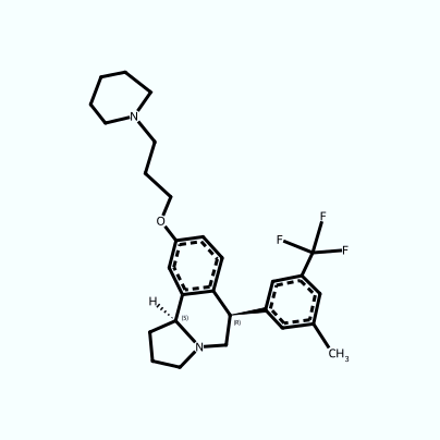 Cc1cc([C@H]2CN3CCC[C@H]3c3cc(OCCCN4CCCCC4)ccc32)cc(C(F)(F)F)c1